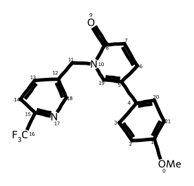 COc1ccc(-c2ccc(=O)n(Cc3ccc(C(F)(F)F)nc3)c2)cc1